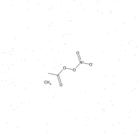 C.CC(=O)OO[N+](=O)[O-]